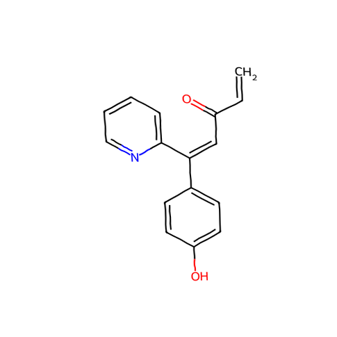 C=CC(=O)C=C(c1ccc(O)cc1)c1ccccn1